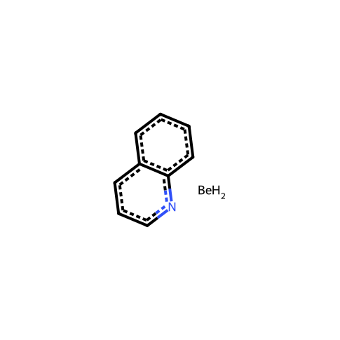 [BeH2].c1ccc2ncccc2c1